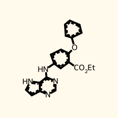 CCOC(=O)c1cc(Nc2ncnc3cc[nH]c23)ccc1Oc1ccccc1